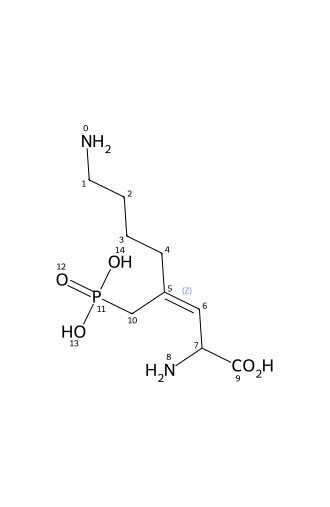 NCCCC/C(=C/C(N)C(=O)O)CP(=O)(O)O